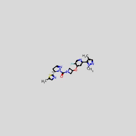 Cc1cnc([C@@H]2CC=NN2C(=O)N2CC(Oc3cc(-c4c(C)cnn4C)ncc3F)C2)s1